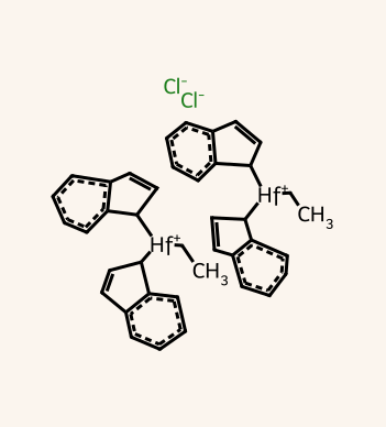 C[CH2][Hf+]([CH]1C=Cc2ccccc21)[CH]1C=Cc2ccccc21.C[CH2][Hf+]([CH]1C=Cc2ccccc21)[CH]1C=Cc2ccccc21.[Cl-].[Cl-]